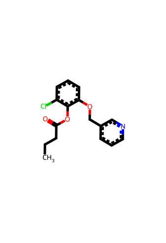 CCCC(=O)Oc1c(Cl)cccc1OCc1cccnc1